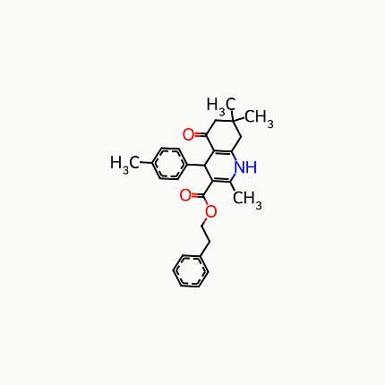 CC1=C(C(=O)OCCc2ccccc2)C(c2ccc(C)cc2)C2=C(CC(C)(C)CC2=O)N1